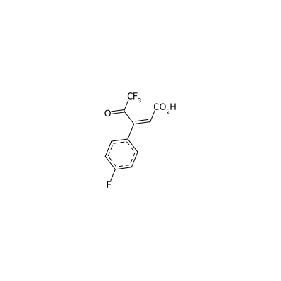 O=C(O)C=C(C(=O)C(F)(F)F)c1ccc(F)cc1